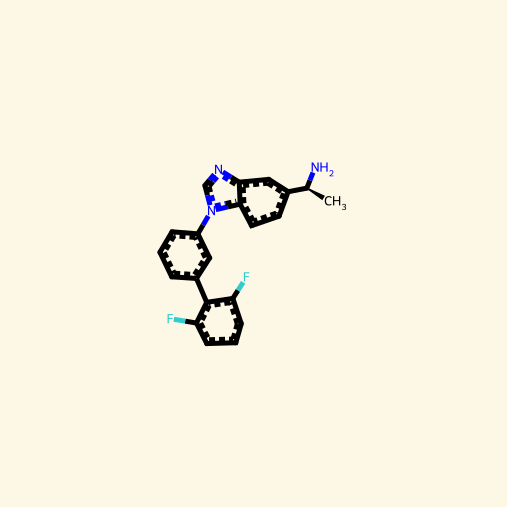 C[C@H](N)c1ccc2c(c1)ncn2-c1cccc(-c2c(F)cccc2F)c1